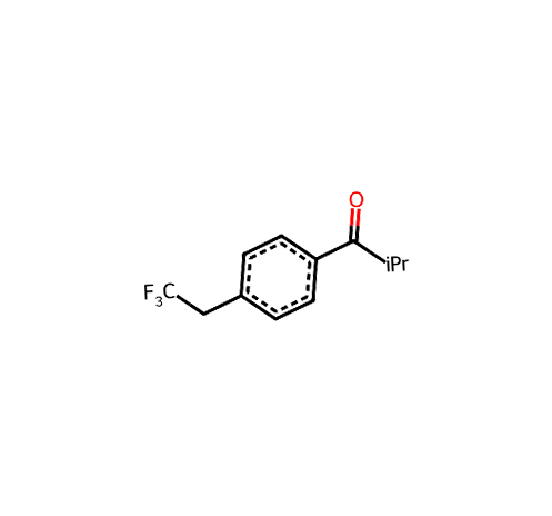 CC(C)C(=O)c1ccc(CC(F)(F)F)cc1